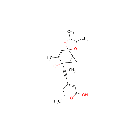 CCCC(C#CC1(O)C(C)=CC2(OC(C)C(C)O2)C2CC21C)=CC(=O)O